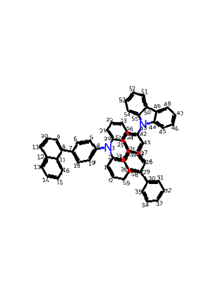 C1=CC(N(c2ccc(-c3cccc4ccccc34)cc2)c2ccccc2-c2ccc(-c3ccccc3)cc2)=C(c2ccc(-n3c4ccccc4c4ccccc43)cc2)CC1